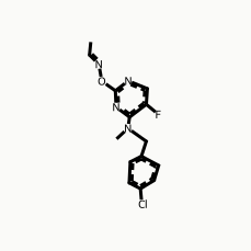 CC=NOc1ncc(F)c(N(C)Cc2ccc(Cl)cc2)n1